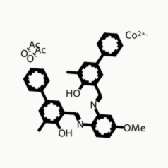 CC(=O)[O-].CC(=O)[O-].COc1ccc(N=Cc2cc(-c3ccccc3)cc(C)c2O)c(N=Cc2cc(-c3ccccc3)cc(C)c2O)c1.[Co+2]